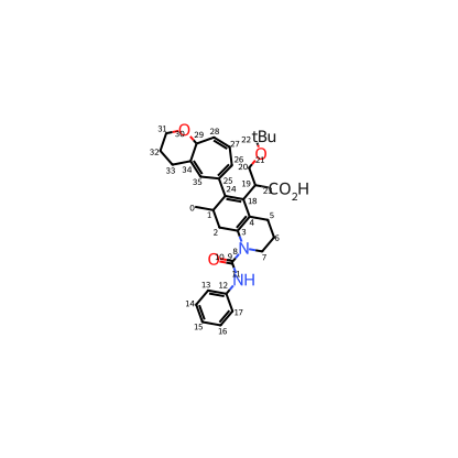 CC1CC2=C(CCCN2C(=O)Nc2ccccc2)C(C(COC(C)(C)C)C(=O)O)=C1C1=CC=CC2OCCCC2=C1